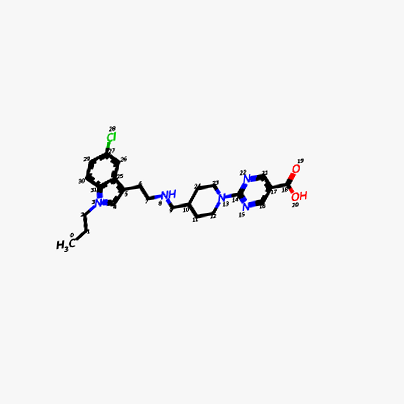 CCCn1cc(CCNCC2CCN(c3ncc(C(=O)O)cn3)CC2)c2cc(Cl)ccc21